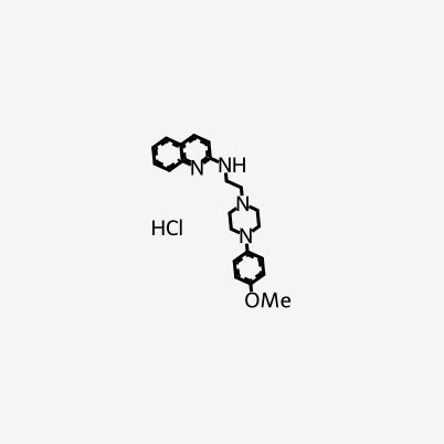 COc1ccc(N2CCN(CCNc3ccc4ccccc4n3)CC2)cc1.Cl